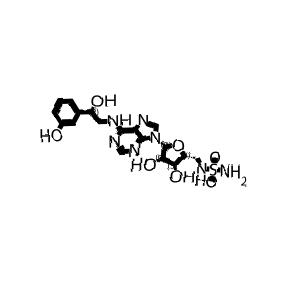 NS(=O)(=O)NC[C@H]1O[C@@H](n2cnc3c(NC[C@H](O)c4cccc(O)c4)ncnc32)[C@H](O)[C@@H]1O